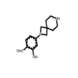 O=Cc1ccc(N2CC3(CCNCC3)C2)cc1O